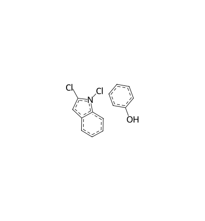 Clc1cc2ccccc2n1Cl.Oc1ccccc1